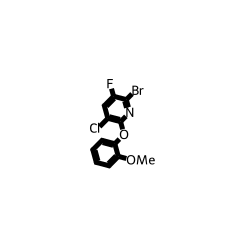 COc1ccccc1Oc1nc(Br)c(F)cc1Cl